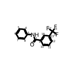 O=C(Nc1ccccc1)c1c[c]cc(C(F)(F)F)c1